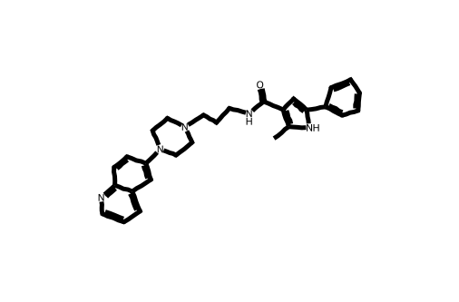 Cc1[nH]c(-c2ccccc2)cc1C(=O)NCCCN1CCN(c2ccc3ncccc3c2)CC1